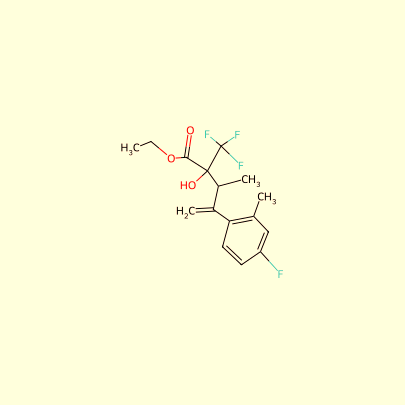 C=C(c1ccc(F)cc1C)C(C)C(O)(C(=O)OCC)C(F)(F)F